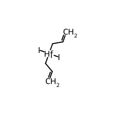 C=C[CH2][Hf]([I])([I])[CH2]C=C